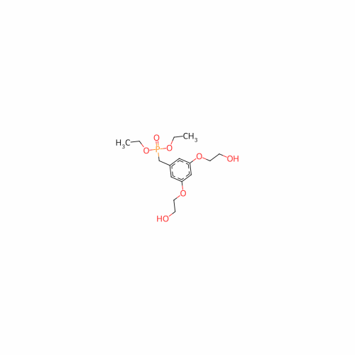 CCOP(=O)(Cc1cc(OCCO)cc(OCCO)c1)OCC